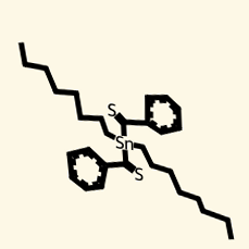 CCCCCCC[CH2][Sn]([CH2]CCCCCCC)([C](=S)c1ccccc1)[C](=S)c1ccccc1